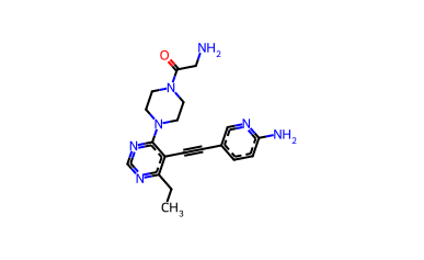 CCc1ncnc(N2CCN(C(=O)CN)CC2)c1C#Cc1ccc(N)nc1